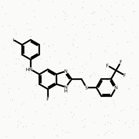 Fc1cc(Nc2cccc(I)c2)cc2nc(CSc3ccnc(C(F)(F)F)c3)[nH]c12